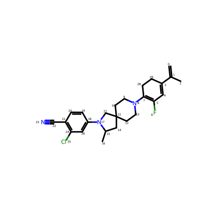 C=C(C)C1=CC(F)=C(N2CCC3(CC2)CC(C)N(c2ccc(C#N)c(Cl)c2)C3)CC1